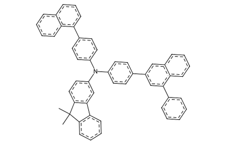 CC1(C)c2ccccc2-c2cc(N(c3ccc(-c4cc(-c5ccccc5)c5ccccc5c4)cc3)c3ccc(-c4cccc5ccccc45)cc3)ccc21